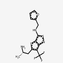 C[C@H](N)Cc1sc2c(NCc3ccco3)snc2c1C(F)(F)F